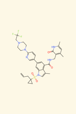 C=CCC1(S(=O)(=O)n2cc(C)c3c(C(=O)NCc4c(C)cc(C)[nH]c4=O)cc(-c4ccc(N5CCN(CC(F)(F)F)CC5)nc4)cc32)CC1